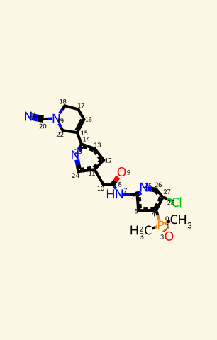 CP(C)(=O)c1cc(NC(=O)Cc2ccc(C3=CCCN(C#N)C3)nc2)ncc1Cl